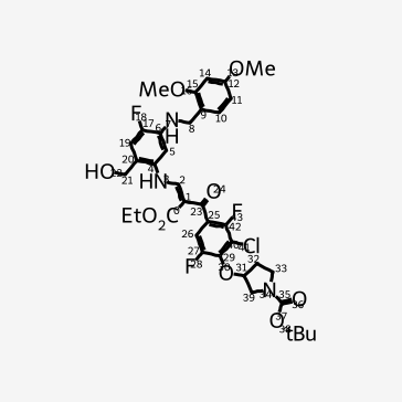 CCOC(=O)/C(=C\Nc1cc(NCc2ccc(OC)cc2OC)c(F)cc1CO)C(=O)c1cc(F)c(OC2CCN(C(=O)OC(C)(C)C)C2)c(Cl)c1F